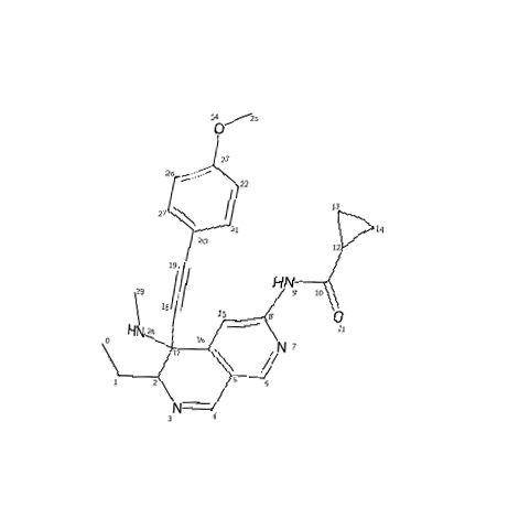 CCC1N=Cc2cnc(NC(=O)C3CC3)cc2C1(C#Cc1ccc(OC)cc1)NC